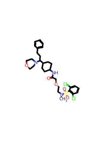 CN(CCOCC(=O)NC1CCC(C(CCc2ccccc2)N2CCOCC2)CC1)S(=O)(=O)c1c(Cl)cccc1Cl